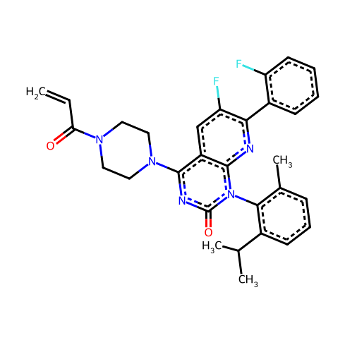 C=CC(=O)N1CCN(c2nc(=O)n(-c3c(C)cccc3C(C)C)c3nc(-c4ccccc4F)c(F)cc23)CC1